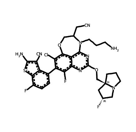 N#CCC1COc2c(Cl)c(-c3ccc(F)c4sc(N)c(C#N)c34)c(F)c3nc(OC[C@@]45CCCN4C[C@H](F)C5)nc(c23)N1CCCN